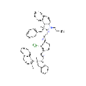 C=C(/C=C/C1=C(Cl)C(=C/C=C2/N(CCC(C)C)c3ccc4ccccc4c3C2(C)Cc2ccccc2)/CC1)C(C)(Cc1ccccc1)c1c(C)ccc2ccccc12